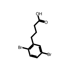 O=C(O)CCCc1cc(Br)ccc1Br